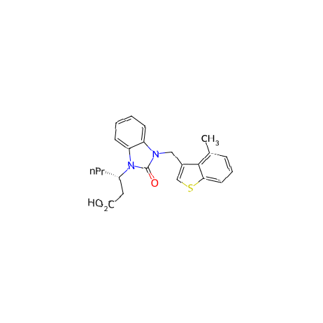 CCC[C@@H](CC(=O)O)n1c(=O)n(Cc2csc3cccc(C)c23)c2ccccc21